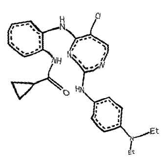 CCN(CC)c1ccc(Nc2ncc(Cl)c(Nc3ccccc3NC(=O)C3CC3)n2)cc1